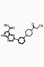 CC(C)(C)C(=O)c1c[nH]c2ncc(-c3cccc(N4CCN(C(=O)CC#N)CC4)c3)nc12